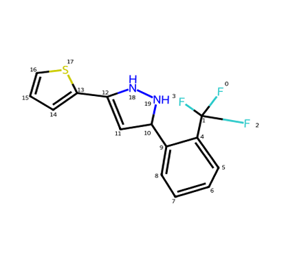 FC(F)(F)c1ccccc1C1C=C(c2cccs2)NN1